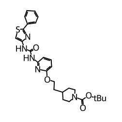 CC(C)(C)OC(=O)N1CCC(CCOc2cccc(NC(=O)Nc3csc(-c4ccccc4)n3)n2)CC1